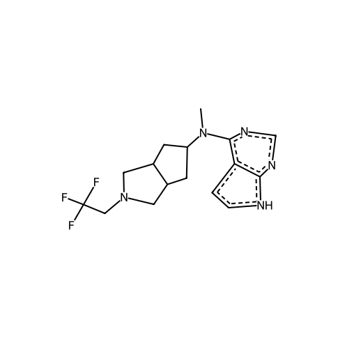 CN(c1ncnc2[nH]ccc12)C1CC2CN(CC(F)(F)F)CC2C1